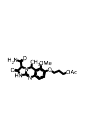 COc1c(OCCCOC(C)=O)ccc2c1C(C)N1C(=N2)NC(=O)C1C(N)=O